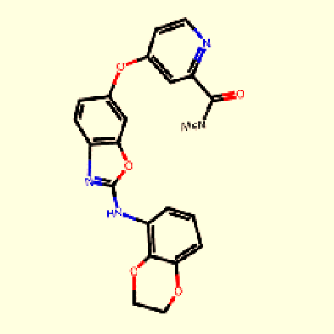 CNC(=O)c1cc(Oc2ccc3nc(Nc4cccc5c4OCCO5)oc3c2)ccn1